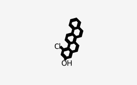 Oc1cc(Cl)c2c(ccc3c4ccc5ccccc5c4ccc32)c1